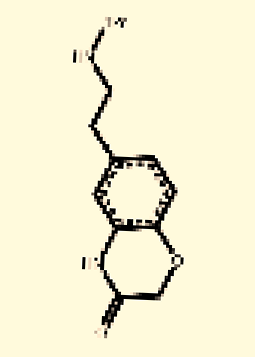 CCCNCCc1ccc2c(c1)NC(=O)CO2